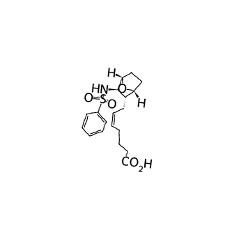 O=C(O)CCC/C=C\C[C@@H]1[C@@H](NS(=O)(=O)c2ccccc2)[C@@H]2CC[C@H]1O2